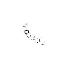 Cc1nnc(-c2ccc3cnc(NC(=O)N4CC[C@H](NC(C)C)[C@H](F)C4)nc3c2)s1